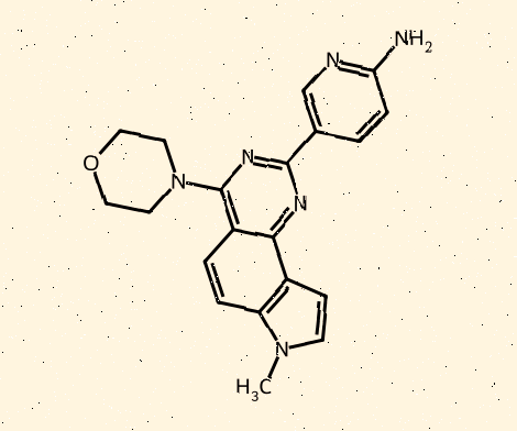 Cn1ccc2c3nc(-c4ccc(N)nc4)nc(N4CCOCC4)c3ccc21